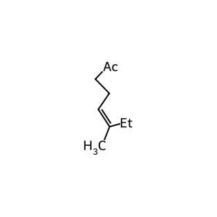 CC/C(C)=C\CCC(C)=O